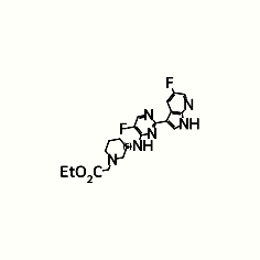 CCOC(=O)CN1CCC[C@H](Nc2nc(-c3c[nH]c4ncc(F)cc34)ncc2F)C1